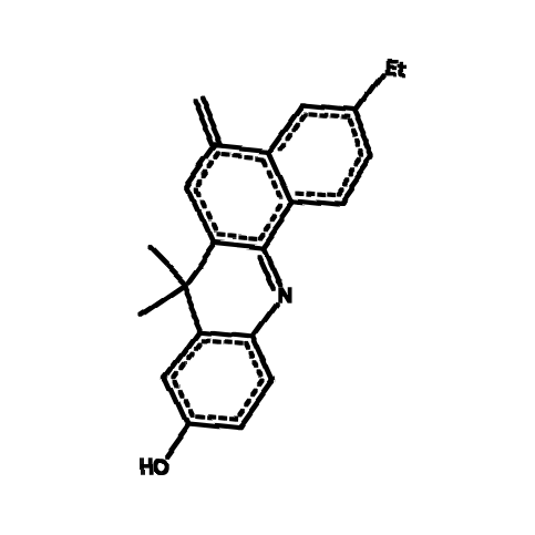 C=c1cc2c(c3ccc(CC)cc13)=Nc1ccc(O)cc1C2(C)C